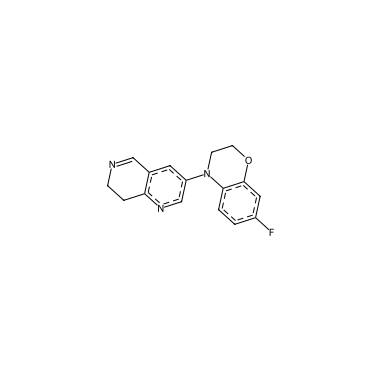 Fc1ccc2c(c1)OCCN2c1cnc2c(c1)C=NCC2